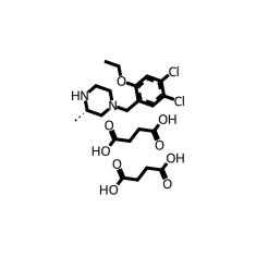 CCOc1cc(Cl)c(Cl)cc1CN1CCN[C@@H](C)C1.O=C(O)CCC(=O)O.O=C(O)CCC(=O)O